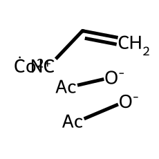 C=CC#N.CC(=O)[O-].CC(=O)[O-].[Co+2]